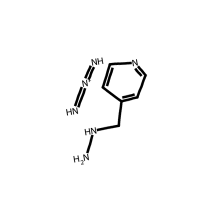 N=[N+]=N.NNCc1ccncc1